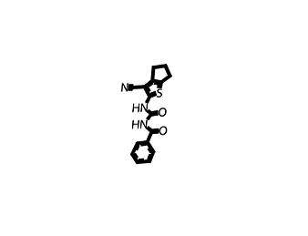 N#Cc1c(NC(=O)NC(=O)c2ccccc2)sc2c1CCC2